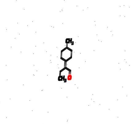 CCC(C=O)=C1CCC(C)CC1